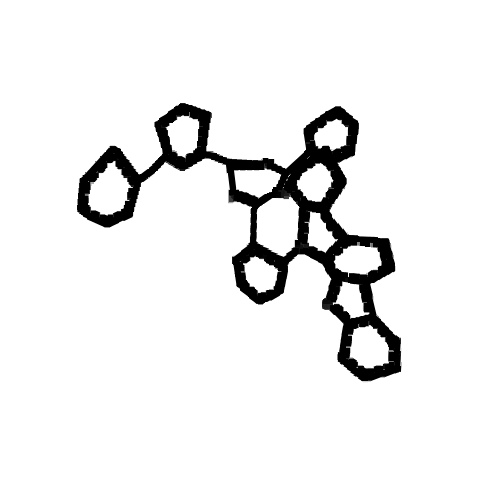 c1ccc(-c2cccc(C3=NC(c4ccccc4)NC(c4ccccc4-n4c5ccccc5c5ccc6c7ccccc7oc6c54)=N3)c2)cc1